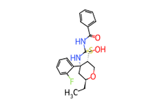 CC[C@H]1C[C@@](NC(=S)NC(=O)c2ccccc2)(c2ccccc2F)[C@H](CO)CO1